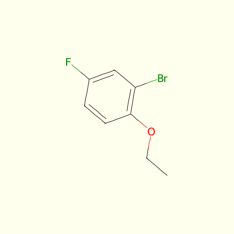 CCOc1ccc(F)cc1Br